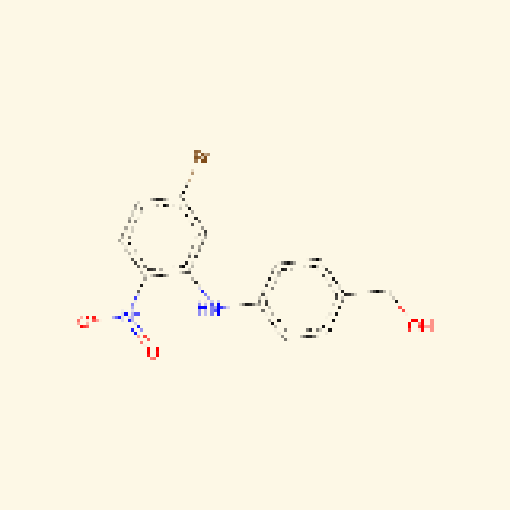 O=[N+]([O-])c1ccc(Br)cc1Nc1ccc(CO)cc1